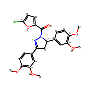 COc1ccc(C2=NN(C(=O)c3ccc(Br)o3)C(c3ccc(OC)c(OC)c3)C2)cc1OC